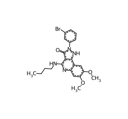 CCCCNc1nc2cc(OC)c(OC)cc2c2[nH]n(-c3cccc(Br)c3)c(=O)c12